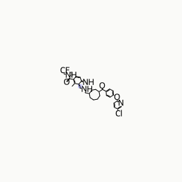 CC1=C(C(=O)NCC(F)(F)F)C=CC(=N)/C1=C\NCC1CCCCC(C(=O)c2ccc(Oc3ccc(Cl)cn3)cc2)CC1